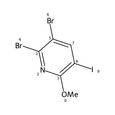 COc1nc(Br)c(Br)cc1I